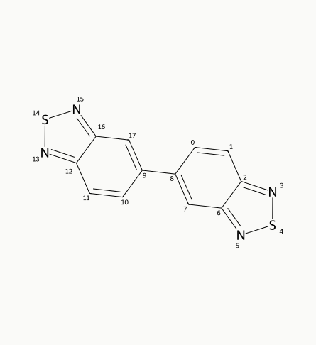 c1cc2nsnc2cc1-c1ccc2nsnc2c1